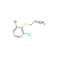 C=CCSc1c(Cl)cccc1Br